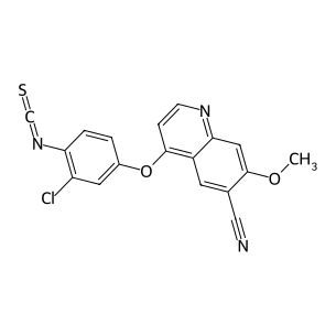 COc1cc2nccc(Oc3ccc(N=C=S)c(Cl)c3)c2cc1C#N